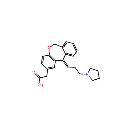 O=C(O)Cc1ccc2c(c1)/C(=C/CCN1CCCC1)c1ccccc1CO2